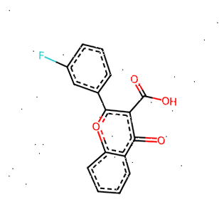 O=C(O)c1c(-c2cccc(F)c2)oc2ccccc2c1=O